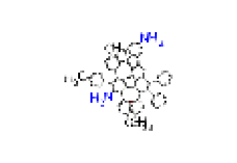 Cc1ccc(-c2c(N)c(-c3ccc(C)cc3)c3c4c(-c5ccc(C)cc5)c(-c5ccccc5)c(-c5ccccc5)c5cc6c7cc(N)cc8cccc(c87)c6c(c3c2-c2ccc(C)cc2)c54)cc1